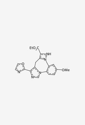 CCOC(=O)c1[nH]n2c1Cc1c(-c3ncco3)ncn1-c1ccc(OC)cc1-2